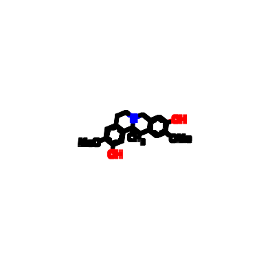 COc1cc2c(cc1O)CN1CCc3cc(OC)c(O)cc3C1(C)C2